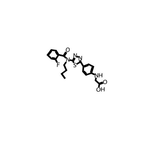 CCCCN(C(=O)c1ccccc1F)c1nnc(-c2ccc(NCC(=O)O)cc2)s1